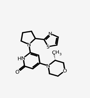 C[C@@H]1COCCN1c1cc(N2CCCC2c2nccs2)[nH]c(=O)c1